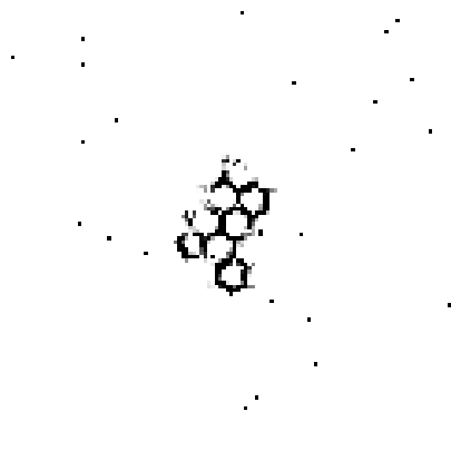 CCn1ccnc1C1C(=O)c2c(cccc2C(=O)OC)NC1c1ccccc1